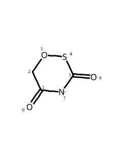 O=C1COSC(=O)[N]1